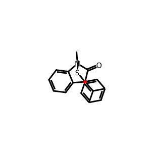 CSc1cc2cc(c1)c2=C1C(=O)N(C)c2ccccc21